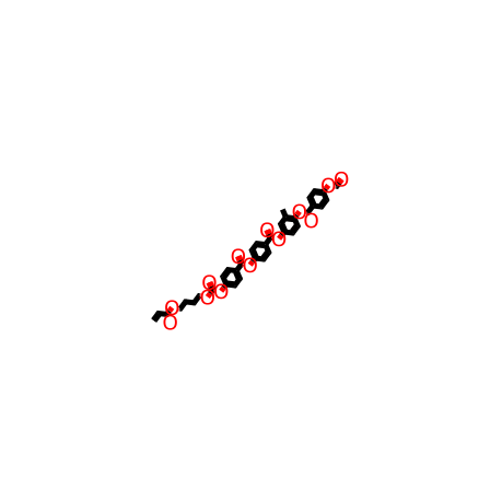 C=CC(=O)OCCCCOC(=O)Oc1ccc(C(=O)Oc2ccc(C(=O)Oc3ccc(OC(=O)c4ccc(OC=O)cc4)c(C)c3)cc2)cc1